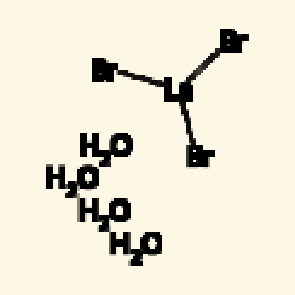 O.O.O.O.[Br][La]([Br])[Br]